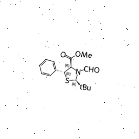 COC(=O)[C@@H]1[C@@H](c2ccccc2)S[C@H](C(C)(C)C)N1C=O